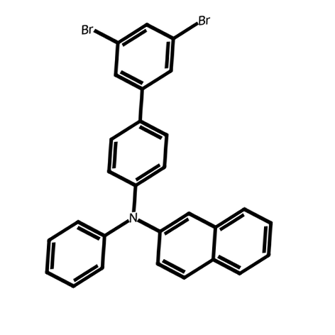 Brc1cc(Br)cc(-c2ccc(N(c3ccccc3)c3ccc4ccccc4c3)cc2)c1